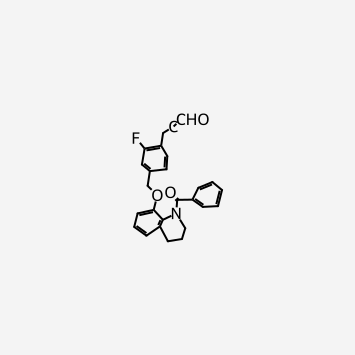 O=CCCc1ccc(COc2cccc3c2N(C(=O)c2ccccc2)CCC3)cc1F